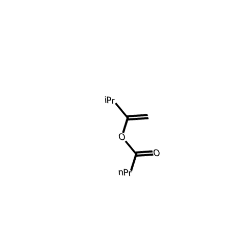 C=C(OC(=O)CCC)C(C)C